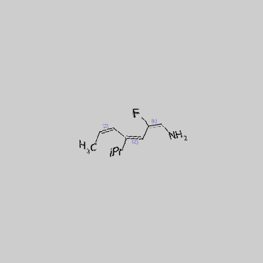 C\C=C/C(=C\C(F)=C/N)C(C)C